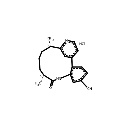 C[C@@H]1CCC[C@H](N)c2cc(ccn2)-c2ccc(C#N)cc2NC1=O.Cl